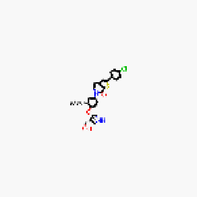 COc1cc(-n2ccc3cc(-c4ccc(Cl)cc4)sc3c2=O)ccc1O[C@H]1CNC[C@@H]1CO